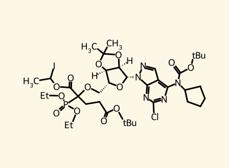 CCOP(=O)(OCC)C(CCC(=O)OC(C)(C)C)(OC[C@H]1O[C@@H](n2ncc3c(N(C(=O)OC(C)(C)C)C4CCCC4)nc(Cl)nc32)[C@@H]2OC(C)(C)O[C@@H]21)C(=O)OC(C)I